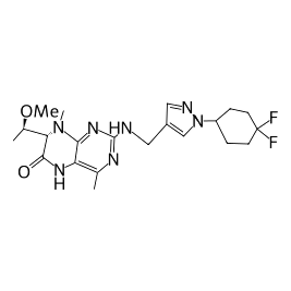 CO[C@H](C)[C@H]1C(=O)Nc2c(C)nc(NCc3cnn(C4CCC(F)(F)CC4)c3)nc2N1C